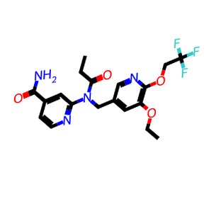 CCOc1cc(CN(C(=O)CC)c2cc(C(N)=O)ccn2)cnc1OCC(F)(F)F